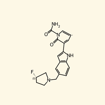 NC(=O)n1c[c]cc(-c2cc3cc(CN4CC[C@H](F)C4)ccc3[nH]2)c1=O